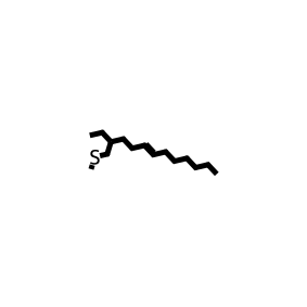 CCCCCC/C=C/CCC(CC)CSC